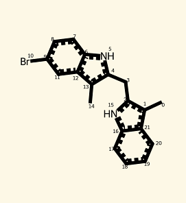 Cc1c(Cc2[nH]c3ccc(Br)cc3c2C)[nH]c2ccccc12